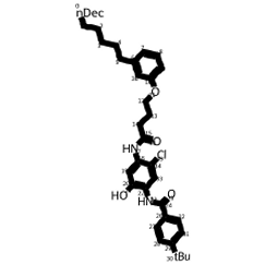 CCCCCCCCCCCCCCCc1cccc(OCCCC(=O)Nc2cc(O)c(NC(=O)c3ccc(C(C)(C)C)cc3)cc2Cl)c1